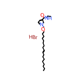 Br.CCCCCCCCC=CCCCCCCCCOCN1C=CC=C(C(=O)NCC)C1